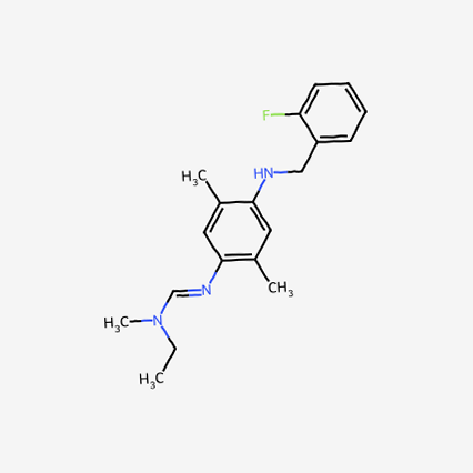 CCN(C)C=Nc1cc(C)c(NCc2ccccc2F)cc1C